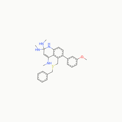 CNC1=CC(NC)(NC)Nc2ccc(-c3cccc(OC)c3)c(CSCc3ccccc3)c21